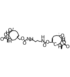 C=C1C(=O)O[C@H]2[C@H]1CC/C(COC(=O)NCCCCCNC(=O)OC/C1=C/CC[C@@]3(C)O[C@H]3[C@H]3OC(=O)C(=C)[C@@H]3CC1)=C\CC[C@@]1(C)O[C@@H]21